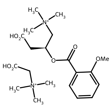 COc1ccccc1C(=O)O[C@@H](CC(=O)O)C[N+](C)(C)C.C[N+](C)(C)CC(=O)O